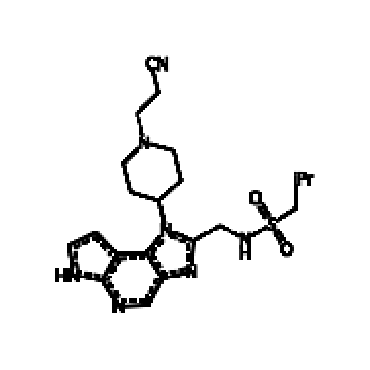 CC(C)CS(=O)(=O)NCc1nc2cnc3[nH]ccc3c2n1C1CCN(CCC#N)CC1